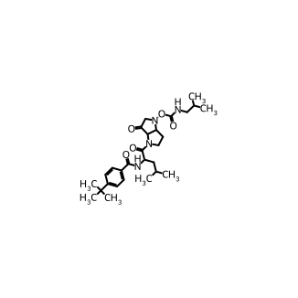 CC(C)CNC(=O)ON1CC(=O)C2C1CCN2C(=O)C(CC(C)C)NC(=O)c1ccc(C(C)(C)C)cc1